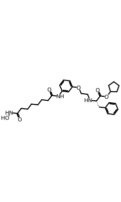 O=C(CCCCCCC(=O)Nc1cccc(OCCN[C@@H](Cc2ccccc2)C(=O)OC2CCCC2)c1)NO